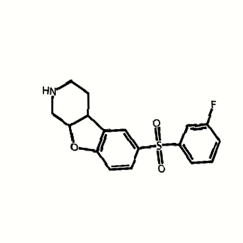 O=S(=O)(c1cccc(F)c1)c1ccc2c(c1)C1CCNCC1O2